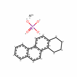 O=P([O-])([O-])[O-].[Al+3].c1ccc2c(c1)ccc1c3c(ccc12)CCCC3